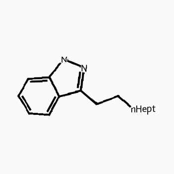 CCCCCCCCCC1=N[N]c2ccccc21